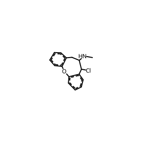 CNC1Cc2ccccc2Oc2ccccc2C1Cl